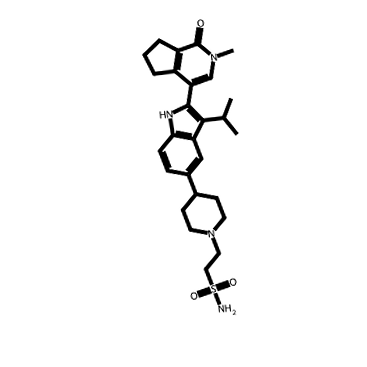 CC(C)c1c(-c2cn(C)c(=O)c3c2CCC3)[nH]c2ccc(C3CCN(CCS(N)(=O)=O)CC3)cc12